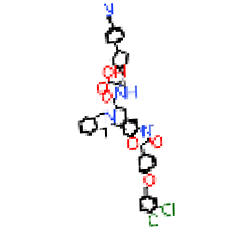 CCc1ccccc1CN1Cc2cc3c(cc2CC1C(=O)N[C@@H](Cc1ccc(-c2ccc(C#N)cc2)cc1)C(=O)O)N(C)C(=O)C(c1ccc(OCc2ccc(Cl)c(Cl)c2)cc1)O3